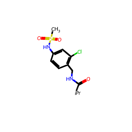 CC(C)C(=O)NCc1ccc(NS(C)(=O)=O)cc1Cl